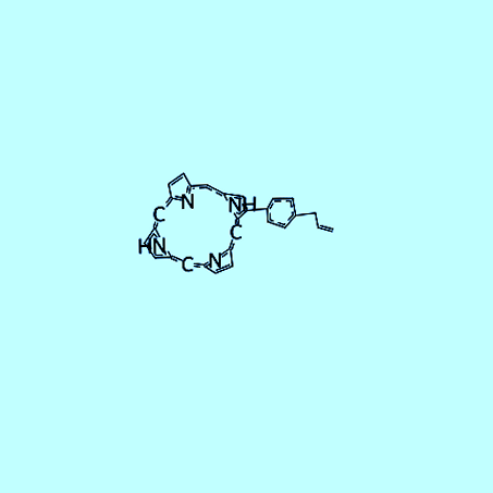 C=CCc1ccc(-c2cc3cc4nc(cc5ccc(cc6nc(cc2[nH]3)C=C6)[nH]5)C=C4)cc1